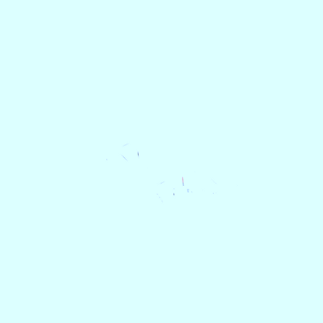 CCOC(=O)Cc1ccc(NC(=O)c2cc(OCc3cccc(C)c3)ccc2Cl)c(Cl)c1